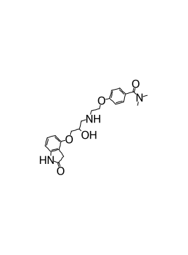 CN(C)C(=O)c1ccc(OCCNCC(O)COc2cccc3c2CC(=O)N3)cc1